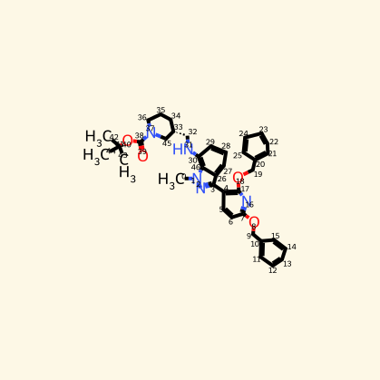 Cn1nc(-c2ccc(OCc3ccccc3)nc2OCc2ccccc2)c2cccc(NC[C@H]3CCCN(C(=O)OC(C)(C)C)C3)c21